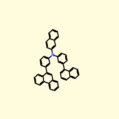 c1cc(-c2cccc3ccccc23)cc(N(c2cccc(-c3cc4ccccc4c4ccccc34)c2)c2ccc3ccccc3c2)c1